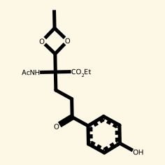 CCOC(=O)C(CCC(=O)c1ccc(O)cc1)(NC(C)=O)C1OC(C)O1